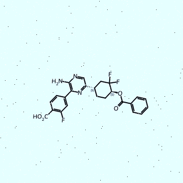 Nc1ncc([C@H]2CC[C@H](OC(=O)c3ccccc3)C(F)(F)C2)nc1-c1ccc(C(=O)O)c(F)c1